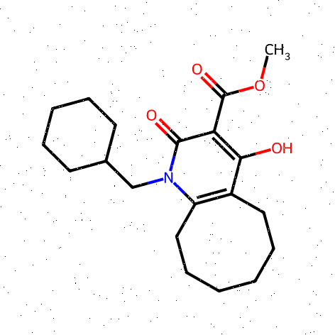 COC(=O)c1c(O)c2c(n(CC3CCCCC3)c1=O)CCCCCC2